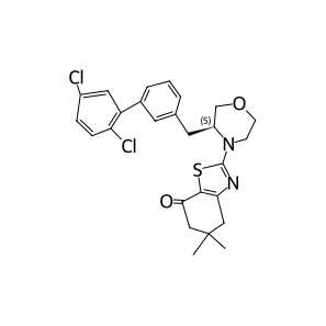 CC1(C)CC(=O)c2sc(N3CCOC[C@@H]3Cc3cccc(-c4cc(Cl)ccc4Cl)c3)nc2C1